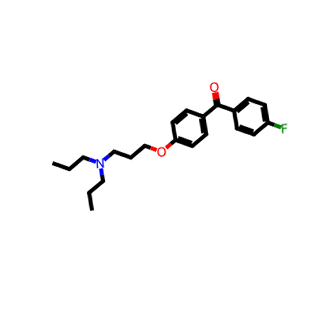 CCCN(CCC)CCCOc1ccc(C(=O)c2ccc(F)cc2)cc1